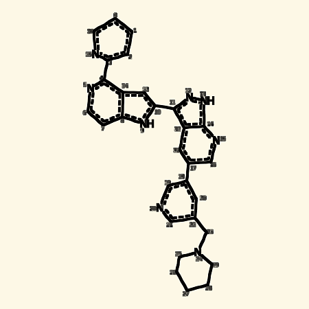 c1ccc(-c2nccc3[nH]c(-c4n[nH]c5ncc(-c6cncc(CN7CCCCC7)c6)cc45)cc23)nc1